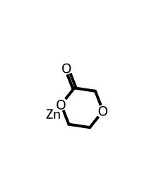 O=C1COCCO1.[Zn]